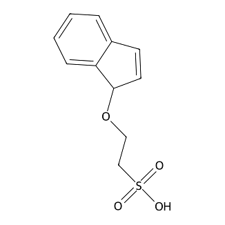 O=S(=O)(O)CCOC1C=Cc2ccccc21